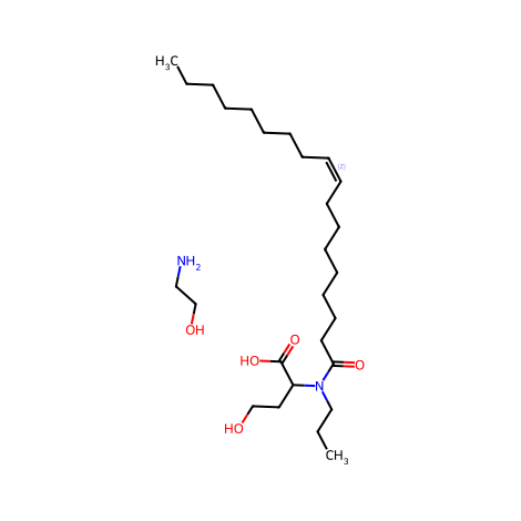 CCCCCCCC/C=C\CCCCCCCC(=O)N(CCC)C(CCO)C(=O)O.NCCO